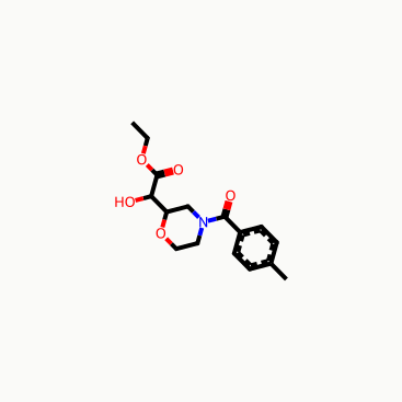 CCOC(=O)C(O)C1CN(C(=O)c2ccc(C)cc2)CCO1